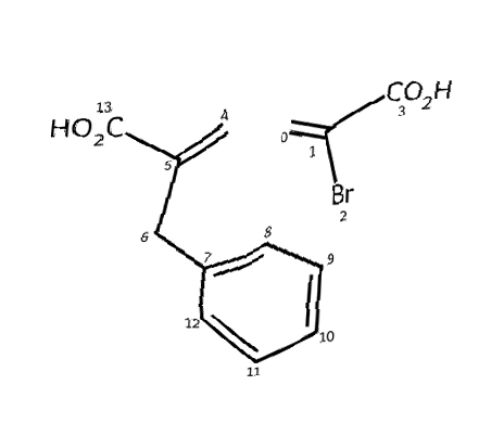 C=C(Br)C(=O)O.C=C(Cc1ccccc1)C(=O)O